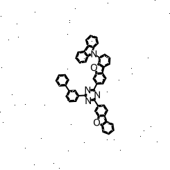 c1ccc(-c2cccc(-c3nc(-c4ccc5c(c4)oc4ccccc45)nc(-c4ccc5c(c4)oc4c(-n6c7ccccc7c7ccccc76)cccc45)n3)c2)cc1